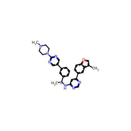 Cc1coc2ccc(-c3cc(N[C@@H](C)c4cccc(-c5cnc(N6CCN(C)CC6)nc5)c4)ncn3)cc12